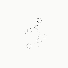 COc1ccc(-c2nc(-c3ccncc3)nn2CCN(C(=O)c2ccc(OC)c(OCc3ccccc3)c2)C2CCCC2)cc1Cl